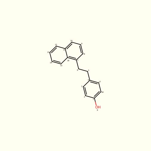 Oc1ccc(CCc2[c]ccc3ccccc23)cc1